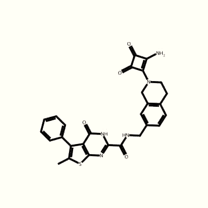 Cc1sc2nc(C(=O)NCc3ccc4c(c3)CN(c3c(N)c(=O)c3=O)CC4)[nH]c(=O)c2c1-c1ccccc1